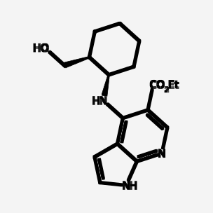 CCOC(=O)c1cnc2[nH]ccc2c1N[C@@H]1CCCC[C@@H]1CO